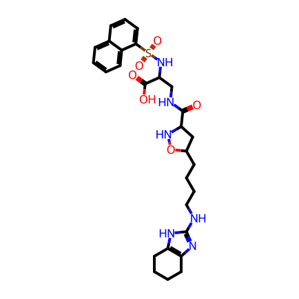 O=C(O)C(CNC(=O)C1CC(CCCCNc2nc3c([nH]2)CCCC3)ON1)NS(=O)(=O)c1cccc2ccccc12